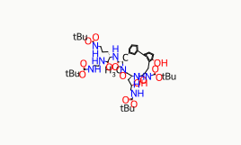 CN1C(=O)[C@H](C[C@@H](O)CNC(=O)OC(C)(C)C)NC(=O)[C@@H](NC(=O)OC(C)(C)C)Cc2cc(ccc2O)-c2cccc(c2)C[C@H]1C(=O)N[C@@H](CCCNC(=O)OC(C)(C)C)C(=O)NCCNC(=O)OC(C)(C)C